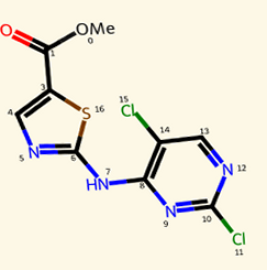 COC(=O)c1cnc(Nc2nc(Cl)ncc2Cl)s1